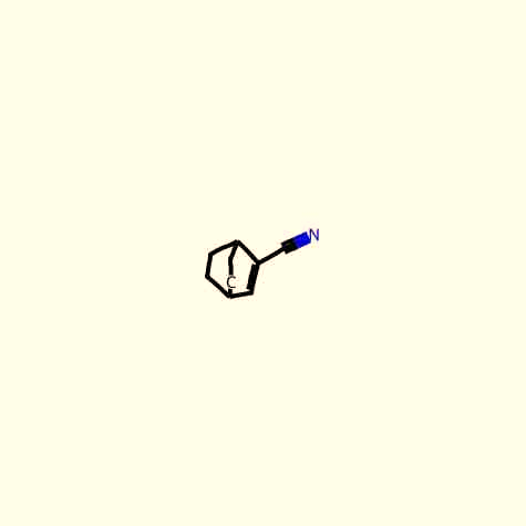 N#CC1=CC2CCC1CC2